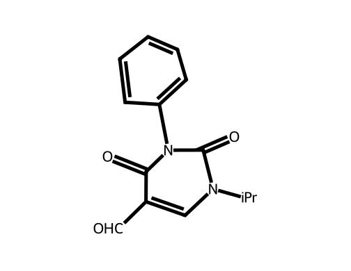 CC(C)n1cc(C=O)c(=O)n(-c2ccccc2)c1=O